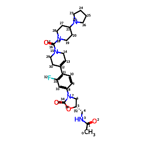 CC(=O)NC[C@H]1CN(c2ccc(C3=CCN(C(=O)N4CCC(N5CCCC5)CC4)CC3)c(F)c2)C(=O)O1